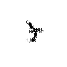 C[C@@H](N)C(=O)OCCOc1ccc(-c2c(C#N)c(N)nc(SCc3csc(-c4ccc(Cl)cc4)n3)c2C#N)cc1